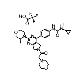 CC1COCCN1c1nc2c(c(-c3ccc(NC(=O)NC4CC4)cc3)n1)CN(C(=O)CN1CCOCC1)C2.O=C(O)C(F)(F)F